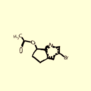 CC(=O)OC1CCc2cc(Br)cnc21